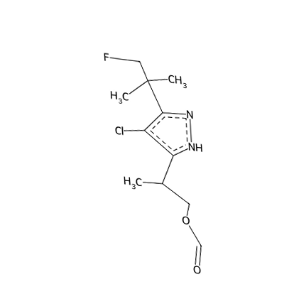 CC(COC=O)c1[nH]nc(C(C)(C)CF)c1Cl